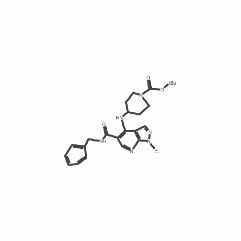 CCn1ncc2c(NC3CCN(C(=O)OC(C)(C)C)CC3)c(C(=O)NCc3ccccc3)cnc21